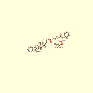 CC(C)(C)OC(=O)NC(C(=O)OCCOC(=O)O[C@H]1CC[C@@]2(C)C(=CC[C@@H]3[C@@H]2CC[C@]2(C)C(c4cccnc4)=CC[C@@H]32)C1)c1ccccc1